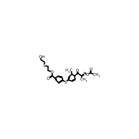 CC(=O)O/N=C(\C)C(=O)C1C=CC(Sc2ccc(C(=O)OCCSCCO)cc2)=CC1C